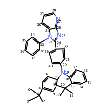 CC(C)(C)c1ccc2c(c1)C(C)(C)c1ccccc1N2c1ccc(-c2nc3ncccc3n2-c2ccccc2)cc1